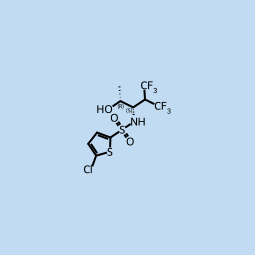 C[C@@H](O)[C@@H](NS(=O)(=O)c1ccc(Cl)s1)C(C(F)(F)F)C(F)(F)F